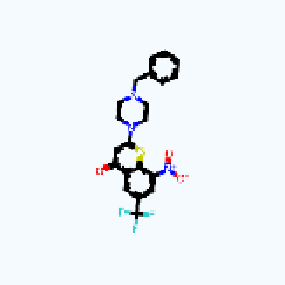 O=c1cc(N2CCN(Cc3ccccc3)CC2)sc2c([N+](=O)[O-])cc(C(F)(F)F)cc12